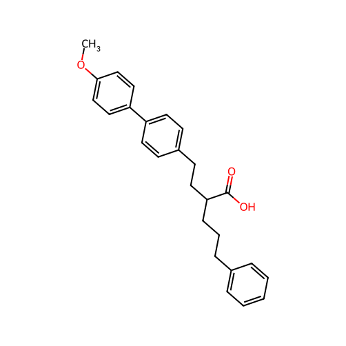 COc1ccc(-c2ccc(CCC(CCCc3ccccc3)C(=O)O)cc2)cc1